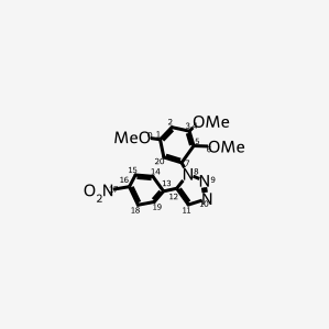 COc1cc(OC)c(OC)c(-n2nncc2-c2ccc([N+](=O)[O-])cc2)c1